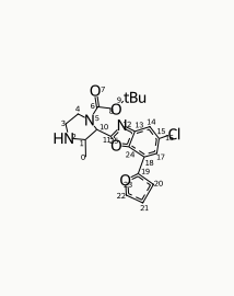 CC1NCCN(C(=O)OC(C)(C)C)C1c1nc2cc(Cl)cc(-c3ccco3)c2o1